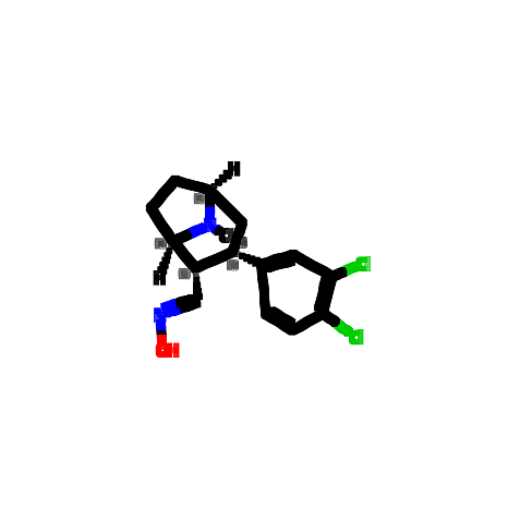 CN1[C@H]2CC[C@@H]1[C@@H](C=NO)[C@@H](c1ccc(Cl)c(Cl)c1)C2